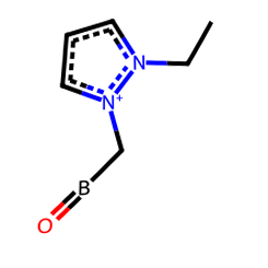 CCn1ccc[n+]1CB=O